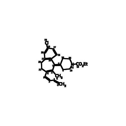 C=C/C=C\C1=C(C)C(=C2CCN(C(=O)OCC)CC2)c2ccc(Cl)cc2CC1